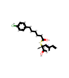 C=C/C(C)=C/[C@@](C)(SC(=O)CCCCCc1ccc(Cl)cc1)C(C)=O